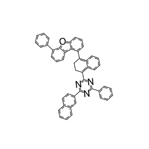 c1ccc(-c2nc(C3=c4ccccc4=C(c4cccc5oc6c(-c7ccccc7)cccc6c45)CC3)nc(-c3ccc4ccccc4c3)n2)cc1